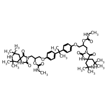 CNC(=O)OC(COc1ccc(C(C)(C)c2ccc(OCC(CN3C(=O)NC4(CC(C)(C)NC(C)(C)C4)C3=O)OC(=O)NC)cc2)cc1)CN1C(=O)NC2(CC(C)(C)NC(C)(C)C2)C1=O